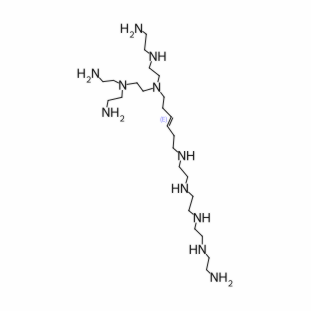 NCCNCCNCCNCCNCC/C=C/CCN(CCNCCN)CCN(CCN)CCN